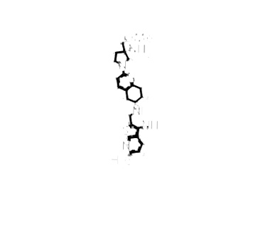 COC[C@]1(N)CCN(c2ccc3c(n2)CC[C@H](NCc2sc4nc(C)ccc4c2N)C3)C1